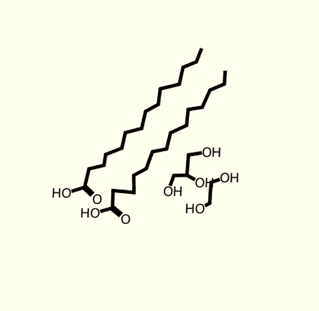 CCCCCCCCCCCCCC(=O)O.CCCCCCCCCCCCCC(=O)O.OCC(O)CO.OCCO